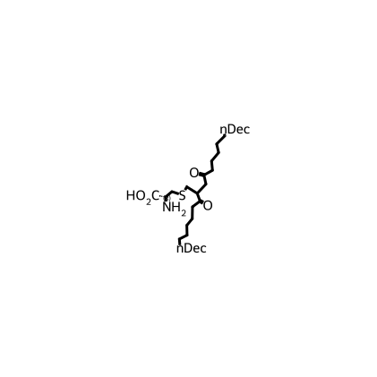 CCCCCCCCCCCCCCCC(=O)CC(CSC[C@H](N)C(=O)O)C(=O)CCCCCCCCCCCCCCC